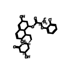 CC1C=CC2=CC(O)CC(OC(=O)[C@H](C)Oc3ccccc3Cl)C2C1CC[C@@H]1C[C@@H](O)CC(=O)O1